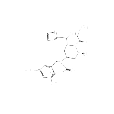 CCC1CC(N(Cc2cc(C(F)(F)F)cc(C(F)(F)F)c2)C(=O)OC)CC(C(C)c2ncc[nH]2)N1C(=O)OC(C)(C)C